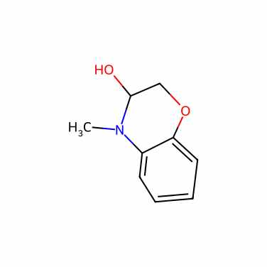 CN1c2ccccc2OCC1O